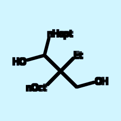 CCCCCCCCC(CC)(CO)C(O)CCCCCCC